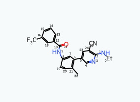 CCNc1ncc(-c2cc(NC(=O)c3cccc(C(F)(F)F)c3)ccc2C)cc1C#N